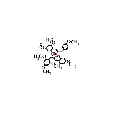 COc1ccc(CC(=Cc2c(OC)cc(OC)cc2OC)S(=O)(=O)C(=Cc2c(OC)cc(OC)cc2OC)Cc2ccc(OC)cc2)cc1